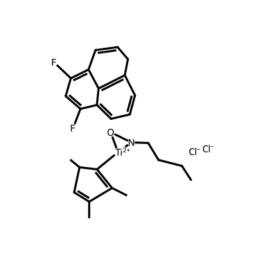 CCCC[N]1[O][Ti+2]1[C]1=C(C)C(C)=CC1C.Fc1cc(F)c2cccc3c2c1C=CC3.[Cl-].[Cl-]